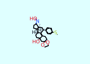 CSc1ccc([C@H]2C[C@]3(C)C(=NO)CC[C@H]3[C@@H]3CC[C@@]4(O)CC5(CCC4=C32)OCCO5)cc1